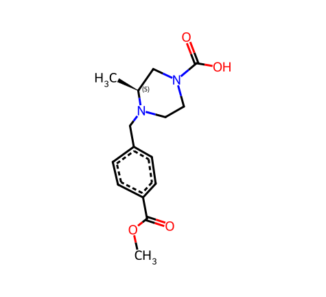 COC(=O)c1ccc(CN2CCN(C(=O)O)C[C@@H]2C)cc1